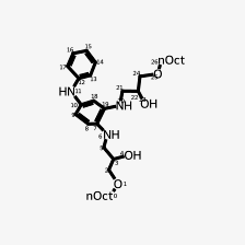 CCCCCCCCOCC(O)CNc1ccc(Nc2ccccc2)cc1NCC(O)COCCCCCCCC